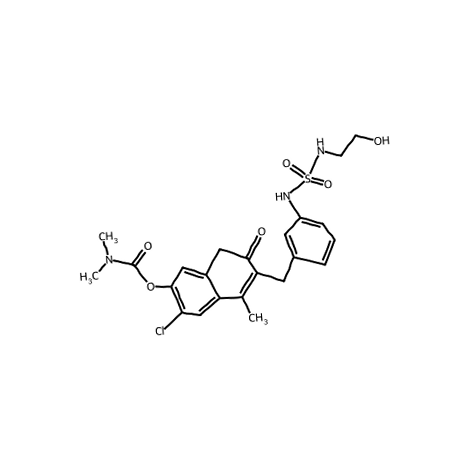 CC1=C(Cc2cccc(NS(=O)(=O)NCCO)c2)C(=O)Cc2cc(OC(=O)N(C)C)c(Cl)cc21